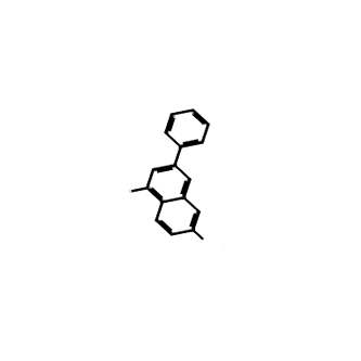 Cc1ccc2c(O)cc(-c3ccccc3)cc2c1